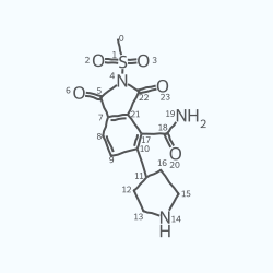 CS(=O)(=O)N1C(=O)c2ccc(C3CCNCC3)c(C(N)=O)c2C1=O